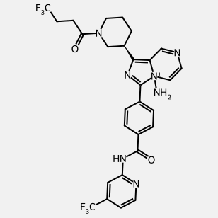 N[N+]12C=CN=CC1=C([C@@H]1CCCN(C(=O)CCC(F)(F)F)C1)N=C2c1ccc(C(=O)Nc2cc(C(F)(F)F)ccn2)cc1